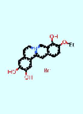 CCOc1ccc2cc3c4cc(O)c(O)cc4cc[n+]3cc2c1O.[Br-]